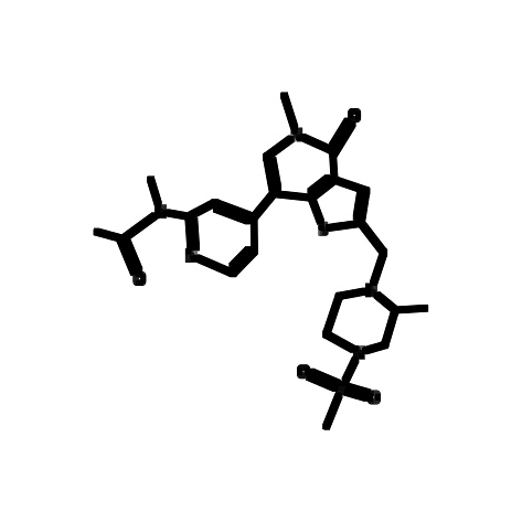 CC(=O)N(C)c1cc(-c2cn(C)c(=O)c3cc(CN4CCN(S(C)(=O)=O)CC4C)sc23)ccn1